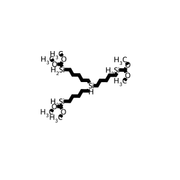 COC(OC)[SiH2]CCCCC[SiH](CCCCC[SiH2]C(OC)OC)CCCCC[SiH2]C(OC)OC